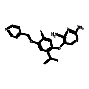 CC(C)c1cc(OCc2ccncc2)c(I)cc1Oc1cnc(N)nc1N